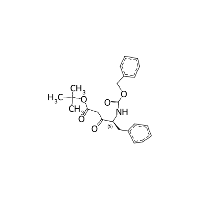 CC(C)(C)OC(=O)CC(=O)[C@H](Cc1ccccc1)NC(=O)OCc1ccccc1